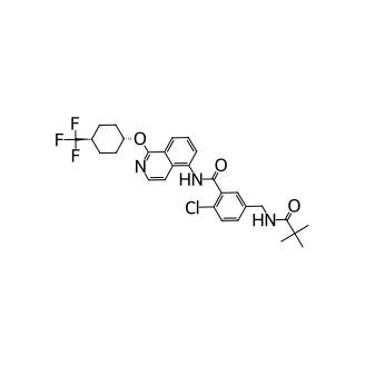 CC(C)(C)C(=O)NCc1ccc(Cl)c(C(=O)Nc2cccc3c(O[C@H]4CC[C@H](C(F)(F)F)CC4)nccc23)c1